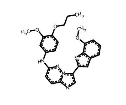 CCCOc1ccc(Nc2ccc3ncc(-c4cc5cccc(OC)c5s4)n3n2)cc1OC